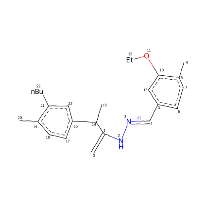 C=C(N/N=C/c1ccc(C)c(OCC)c1)C(C)c1ccc(C)c(CCCC)c1